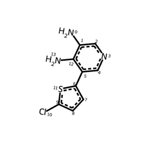 Nc1cncc(-c2ccc(Cl)s2)c1N